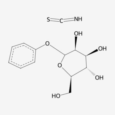 N=C=S.OC[C@H]1OC(Oc2ccccc2)[C@@H](O)[C@@H](O)[C@@H]1O